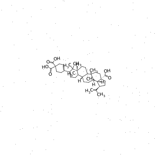 C=C(C)[C@@H]1CC[C@]2(C(=O)O)CC[C@]3(C)[C@H](CC[C@@H]4[C@@]5(C)CC=C(C6=CCC(C(=O)O)(C(=O)O)CC6)C(C)(C)[C@@H]5CC[C@]43C)[C@@H]12